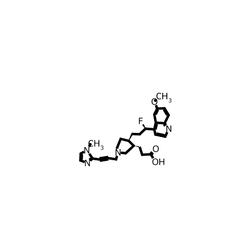 COc1ccc2nccc([C@H](F)CC[C@@H]3CCN(CC#Cc4nccn4C)C[C@H]3CCC(=O)O)c2c1